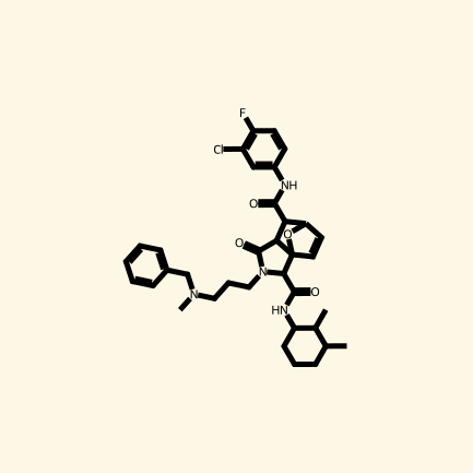 CC1CCCC(NC(=O)C2N(CCCN(C)Cc3ccccc3)C(=O)C3C(C(=O)Nc4ccc(F)c(Cl)c4)C4C=CC32O4)C1C